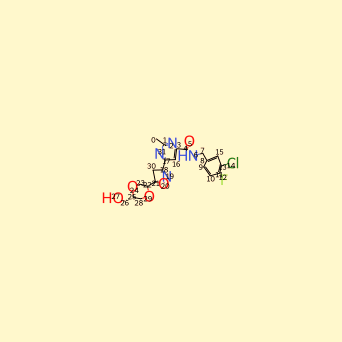 Cc1nc(C(=O)NCc2ccc(F)c(Cl)c2)cc(C2=NOC([C@@H]3CO[C@@H](CO)CO3)C2)n1